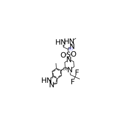 CN/N=C(\C=N)S(=O)(=O)N1CCN(CC(C)(F)F)[C@@H](c2cc3cn[nH]c3cc2C)C1